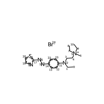 CCN(CC[N+](C)(CC)CC)c1ccc(N=Nc2nccs2)cc1.[Br-]